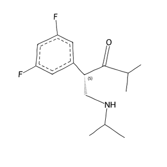 CC(C)NC[C@@H](C(=O)C(C)C)c1cc(F)cc(F)c1